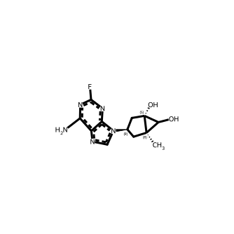 C[C@]12C[C@@H](n3cnc4c(N)nc(F)nc43)C[C@@]1(O)C2O